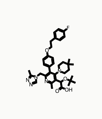 Cc1nc(Cn2cnnc2C)c(-c2ccc(OCCc3ccc(F)cc3)cc2)c(N2CCC(C)(C)CC2)c1C(OC(C)(C)C)C(=O)O